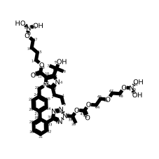 CCCc1nc(C(C)(C)O)c(C(=O)OCCCCON(O)O)n1Cc1ccc(-c2ccccc2-c2nnn(C(C)OC(=O)OCCOCCON(O)O)n2)cc1